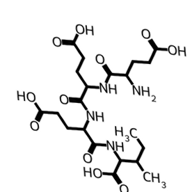 CCC(C)C(NC(=O)C(CCC(=O)O)NC(=O)C(CCC(=O)O)NC(=O)C(N)CCC(=O)O)C(=O)O